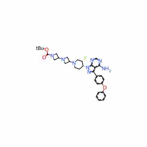 CC(C)(C)OC(=O)N1CC(N2CC(N3CC[C@@H](n4nc(-c5ccc(Oc6ccccc6)cc5)c5c(N)ncnc54)[C@@H](F)C3)C2)C1